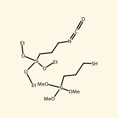 CCO[Si](CCCN=C=O)(OCC)OCC.CO[Si](CCCS)(OC)OC